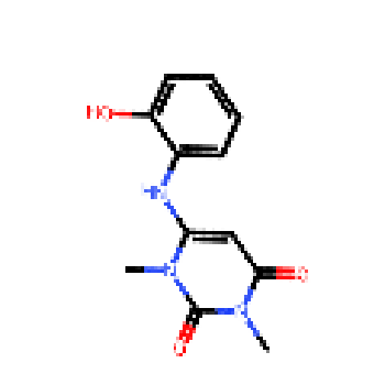 Cn1c(Nc2ccccc2O)cc(=O)n(C)c1=O